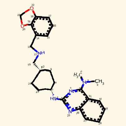 CN(C)c1nc(N[C@H]2CC[C@@H](CNCc3cccc4c3OCO4)CC2)nc2ccccc12